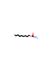 NC(=O)OCCCCCCCCI